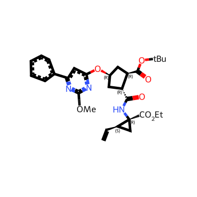 C=C[C@@H]1C[C@]1(NC(=O)[C@@H]1C[C@@H](Oc2cc(-c3ccccc3)nc(OC)n2)C[C@H]1C(=O)OC(C)(C)C)C(=O)OCC